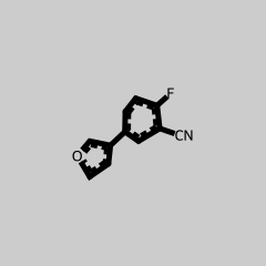 N#Cc1cc(-c2ccoc2)ccc1F